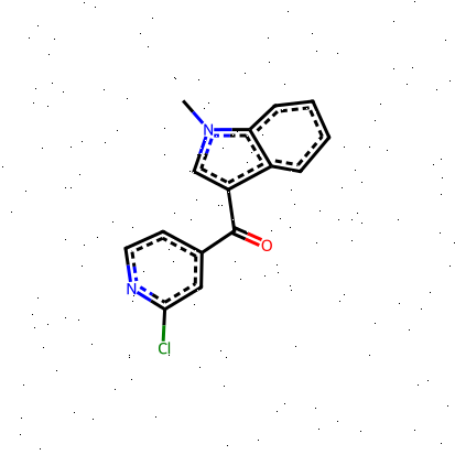 Cn1cc(C(=O)c2ccnc(Cl)c2)c2ccccc21